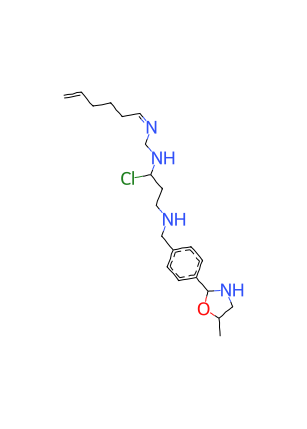 C=CCCC/C=N\CNC(Cl)CCNCc1ccc(C2NCC(C)O2)cc1